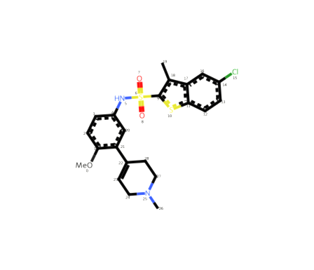 COc1ccc(NS(=O)(=O)c2sc3ccc(Cl)cc3c2C)cc1C1=CCN(C)CC1